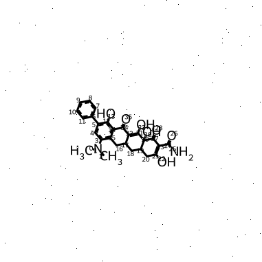 CN(C)c1cc(-c2ccccc2)c(O)c2c1CC1CC3CC(O)=C(C(N)=O)C(=O)[C@@]3(O)C(O)=C1C2=O